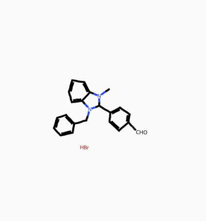 Br.CN1c2ccccc2N(Cc2ccccc2)C1c1ccc(C=O)cc1